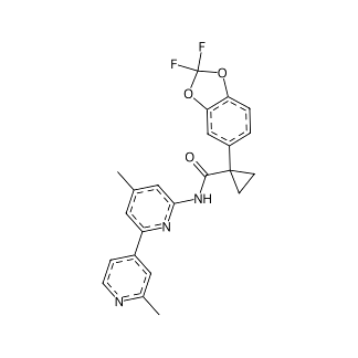 Cc1cc(NC(=O)C2(c3ccc4c(c3)OC(F)(F)O4)CC2)nc(-c2ccnc(C)c2)c1